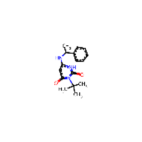 CC(Nc1cc(=O)n(C(C)(C)C)c(=O)[nH]1)c1ccccc1